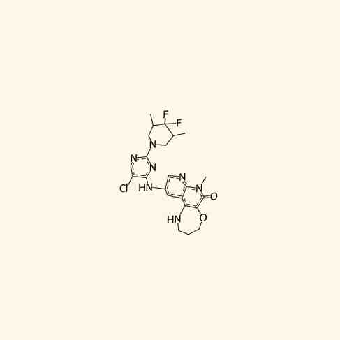 CC1CN(c2ncc(Cl)c(Nc3cnc4c(c3)c3c(c(=O)n4C)OCCCN3)n2)CC(C)C1(F)F